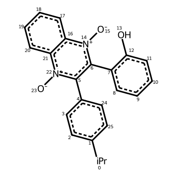 CC(C)c1ccc(-c2c(-c3ccccc3O)[n+]([O-])c3ccccc3[n+]2[O-])cc1